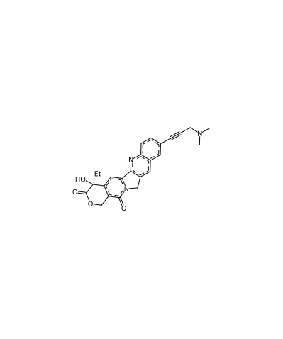 CC[C@@]1(O)C(=O)OCc2c1cc1n(c2=O)Cc2cc3cc(C#CCN(C)C)ccc3nc2-1